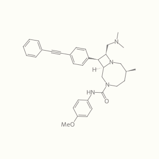 COc1ccc(NC(=O)N2CC[C@H](C)CN3[C@H](CN(C)C)[C@H](c4ccc(C#Cc5ccccc5)cc4)[C@@H]3C2)cc1